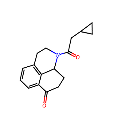 O=C1CCC2c3c(cccc31)CCN2C(=O)CC1CC1